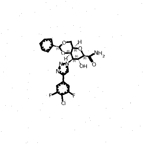 NC(=O)[C@@H]1O[C@@H]2CO[C@H](c3ccccc3)O[C@@H]2[C@H](n2cc(-c3cc(F)c(Cl)c(F)c3)nn2)[C@H]1O